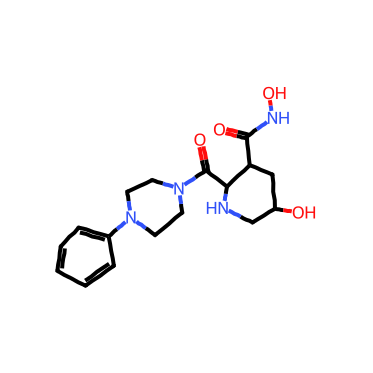 O=C(NO)C1CC(O)CNC1C(=O)N1CCN(c2ccccc2)CC1